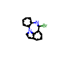 BrC1=Nc2ccccc2-n2ccc3cccc1c32